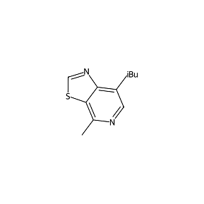 CCC(C)c1cnc(C)c2scnc12